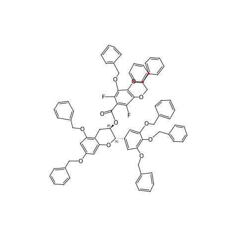 O=C(O[C@@H]1Cc2c(OCc3ccccc3)cc(OCc3ccccc3)cc2O[C@H]1c1cc(OCc2ccccc2)c(OCc2ccccc2)c(OCc2ccccc2)c1)c1c(F)c(OCc2ccccc2)c(OCc2ccccc2)c(OCc2ccccc2)c1F